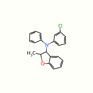 CC1Oc2ccccc2C1N(c1ccccc1)c1cccc(Cl)c1